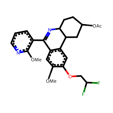 COc1cc2c(cc1OCC(F)F)C1CC(OC(C)=O)CCC1N=C2c1cccnc1OC